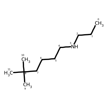 CCCNCCCCC(C)(C)C